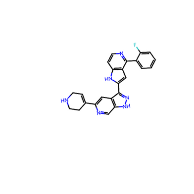 Fc1ccccc1-c1nccc2[nH]c(-c3n[nH]c4cnc(C5=CCNCC5)cc34)cc12